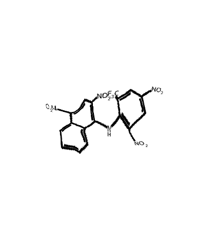 O=[N+]([O-])c1cc([N+](=O)[O-])c(Nc2c([N+](=O)[O-])cc([N+](=O)[O-])c3ccccc23)c(C(F)(F)F)c1